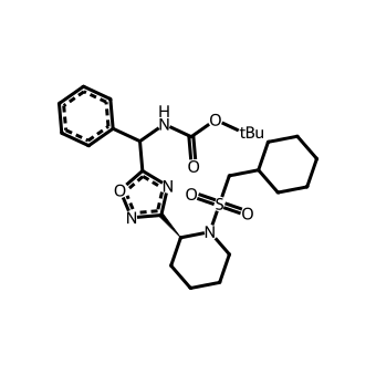 CC(C)(C)OC(=O)NC(c1ccccc1)c1nc([C@@H]2CCCCN2S(=O)(=O)CC2CCCCC2)no1